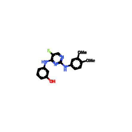 COc1ccc(Nc2ncc(F)c(Nc3cccc(O)c3)n2)cc1OC